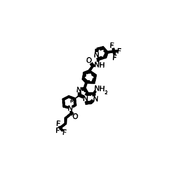 Nc1nccn2c([C@@H]3CCCN(C(=O)CCC(F)(F)F)C3)nc(-c3ccc(C(=O)Nc4cc(C(F)(F)F)ccn4)cc3)c12